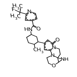 CC1CCC(NC(=O)c2ccnc(C(C)(C)F)c2)CC1c1cc2n(c(=O)c1)CCC13NC1OCCN23